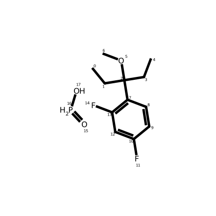 CCC(CC)(OC)c1ccc(F)cc1F.O=[PH2]O